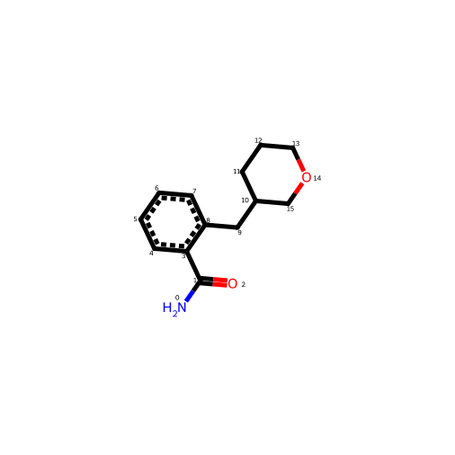 NC(=O)c1ccccc1CC1CCCOC1